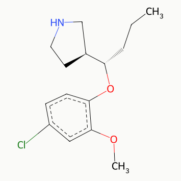 CCC[C@H](Oc1ccc(Cl)cc1OC)[C@H]1CCNC1